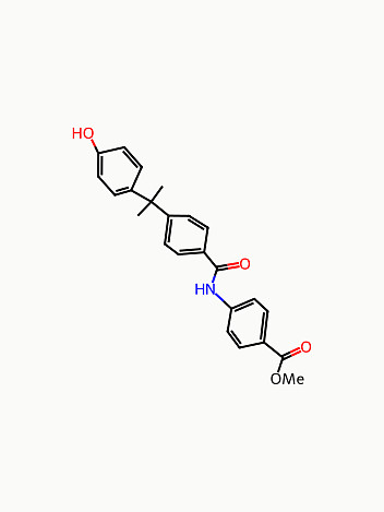 COC(=O)c1ccc(NC(=O)c2ccc(C(C)(C)c3ccc(O)cc3)cc2)cc1